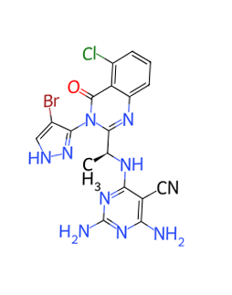 C[C@H](Nc1nc(N)nc(N)c1C#N)c1nc2cccc(Cl)c2c(=O)n1-c1n[nH]cc1Br